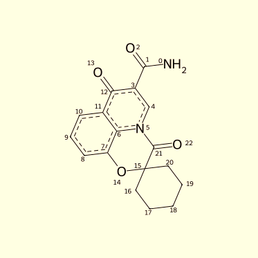 NC(=O)c1cn2c3c(cccc3c1=O)OC1(CCCCC1)C2=O